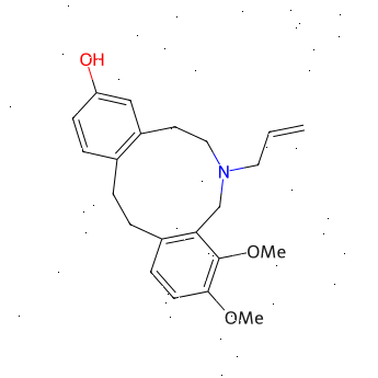 C=CCN1CCc2cc(O)ccc2CCc2ccc(OC)c(OC)c2C1